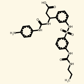 CCCNC(=O)Nc1cccc(S(=O)(=O)Nc2cccc(C(CC(=O)O)NC(=O)Nc3ccc(N)cc3)c2)c1